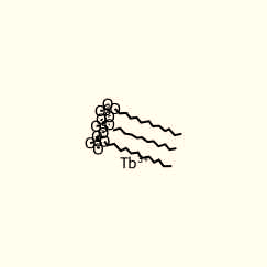 CCCCCCCCCCCCOS(=O)(=O)[O-].CCCCCCCCCCCCOS(=O)(=O)[O-].CCCCCCCCCCCCOS(=O)(=O)[O-].[Tb+3]